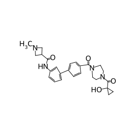 CN1CC(C(=O)Nc2cccc(-c3ccc(C(=O)N4CCN(C(=O)C5(O)CC5)CC4)cc3)c2)C1